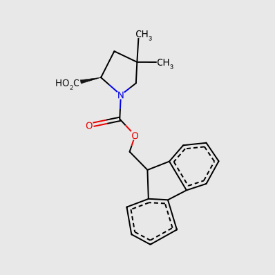 CC1(C)C[C@H](C(=O)O)N(C(=O)OCC2c3ccccc3-c3ccccc32)C1